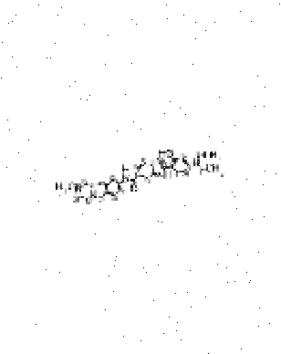 CCN(CC)c1ccc(-c2nc3ccc(C(=O)Nc4ccc(CN5CCN(C)CC5)cc4)cc3[nH]2)c(O)c1